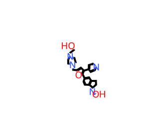 OCCN1CCN(Cc2cc(-c3ccncc3)c(-c3ccc4c(c3)CCC4=NO)o2)CC1